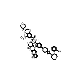 CC(C)c1ccccc1[C@@H]1COCCCN1C1CC2(CCN(c3ccc(C(=O)NS(=O)(=O)c4cc5c(c([N+](=O)[O-])c4)N[C@H](C4(F)CCOCC4)CO5)c(N4c5cc6cc[nH]c6nc5O[C@H]5COCC[C@@H]54)c3)CC2)C1